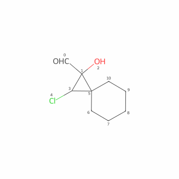 O=CC1(O)C(Cl)C12CCCCC2